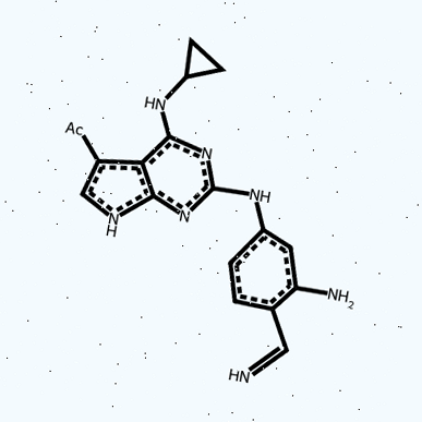 CC(=O)c1c[nH]c2nc(Nc3ccc(C=N)c(N)c3)nc(NC3CC3)c12